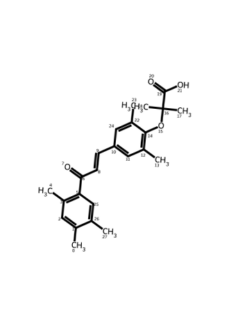 Cc1cc(C)c(C(=O)C=Cc2cc(C)c(OC(C)(C)C(=O)O)c(C)c2)cc1C